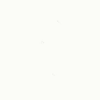 CN(C)c1ccc(C(Nc2ccccc2)c2cc([N+](=O)[O-])ccc2Cl)cc1